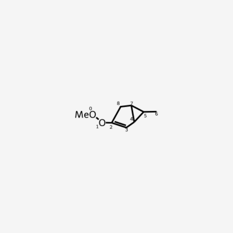 COOC1=CC2C(C)C2C1